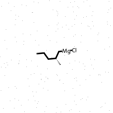 CCC[C@@H](C)[CH2][Mg][Cl]